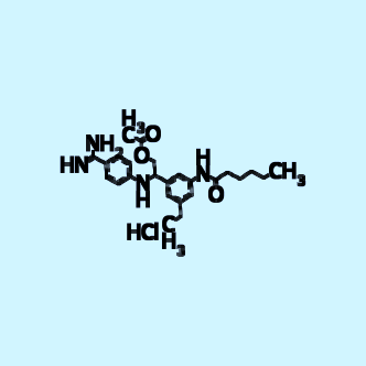 CCCCCC(=O)Nc1cc(CC)cc(C(COC(C)=O)Nc2ccc(C(=N)N)cc2)c1.Cl